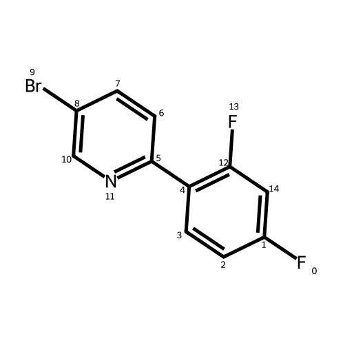 Fc1ccc(-c2ccc(Br)cn2)c(F)c1